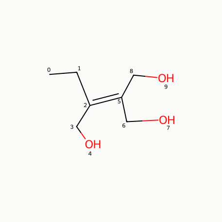 CCC(CO)=C(CO)CO